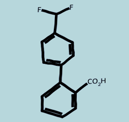 O=C(O)c1ccccc1-c1ccc(C(F)F)cc1